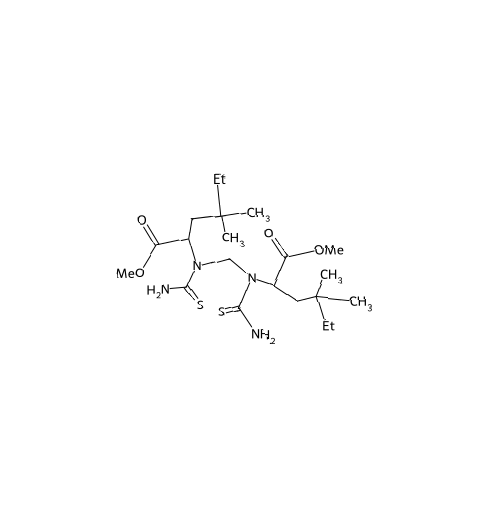 CCC(C)(C)CC(C(=O)OC)N(CN(C(N)=S)C(CC(C)(C)CC)C(=O)OC)C(N)=S